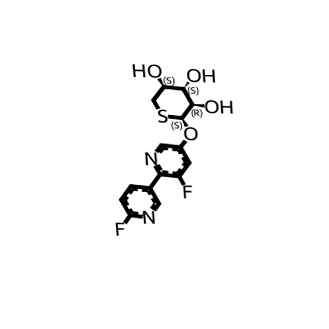 O[C@@H]1[C@@H](O)[C@@H](Oc2cnc(-c3ccc(F)nc3)c(F)c2)SC[C@H]1O